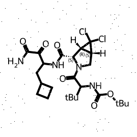 CC(C)(C)OC(=O)NC(C(=O)N1C[C@@H]2[C@H]([C@H]1C(=O)NC(CC1CCC1)C(=O)C(N)=O)C2(Cl)Cl)C(C)(C)C